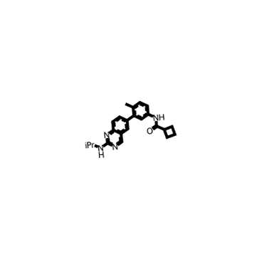 Cc1ccc(NC(=O)C2CCC2)cc1-c1ccc2nc(NC(C)C)ncc2c1